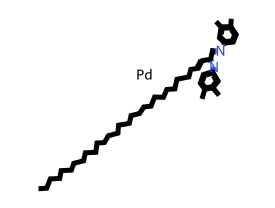 CCCCCCCCCCCCCCCCCCCCCCCCCCCC=CC(C=Nc1ccc(C)c(C)c1)=Nc1ccc(C)c(C)c1.[Pd]